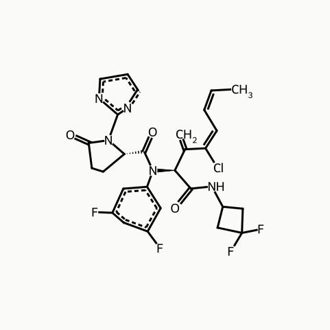 C=C(/C(Cl)=C\C=C/C)[C@@H](C(=O)NC1CC(F)(F)C1)N(C(=O)[C@@H]1CCC(=O)N1c1ncccn1)c1cc(F)cc(F)c1